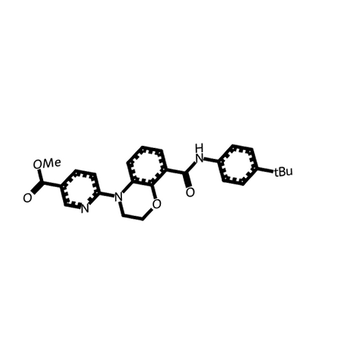 COC(=O)c1ccc(N2CCOc3c(C(=O)Nc4ccc(C(C)(C)C)cc4)cccc32)nc1